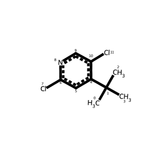 CC(C)(C)c1cc(Cl)ncc1Cl